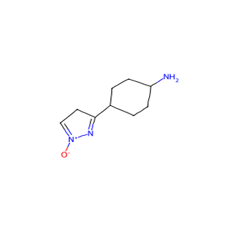 NC1CCC(C2=N[N+]([O-])=CC2)CC1